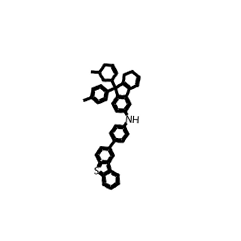 Cc1ccc(C2(C3C=CCC(C)C3)C3=C(C=CCC3)c3cc(Nc4ccc(-c5ccc6sc7ccccc7c6c5)cc4)ccc32)cc1